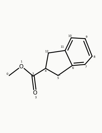 COC(=O)C1[CH]c2ccccc2C1